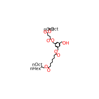 CCCCCCCCOC(CCC(=O)OCc1cc(CO)cc(COC(=O)CCCCCCC(=O)OCC(CCCCCC)CCCCCCCC)c1)OCCCCCCCC